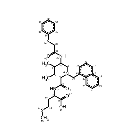 CCC(C)C(CN(CC(=O)NC(CCSC)C(=O)O)Cc1cccc2ccccc12)NC(=O)CSc1ccccc1